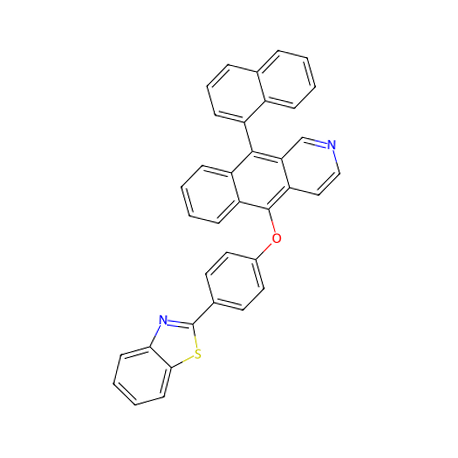 c1ccc2c(-c3c4ccccc4c(Oc4ccc(-c5nc6ccccc6s5)cc4)c4ccncc34)cccc2c1